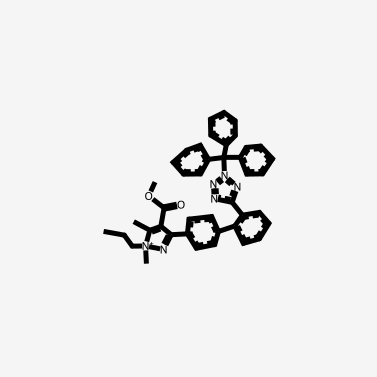 CCC[N+]1(C)N=C(c2ccc(-c3ccccc3-c3nnn(C(c4ccccc4)(c4ccccc4)c4ccccc4)n3)cc2)C(C(=O)OC)=C1C